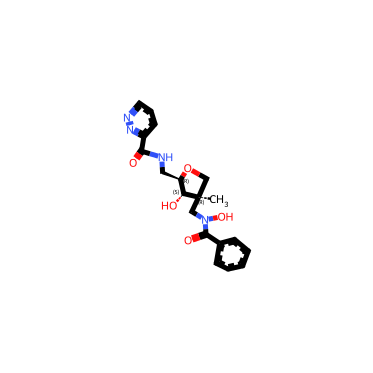 C[C@@]1(CN(O)C(=O)c2ccccc2)CO[C@H](CNC(=O)c2cccnn2)[C@H]1O